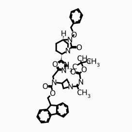 C/C(=N/C(=O)OC(C)(C)C)N1CC(N(Cc2nnc([C@@H]3CC[C@@H]4CN3C(=O)N4OCc3ccccc3)o2)C(=O)OCC2c3ccccc3-c3ccccc32)C1